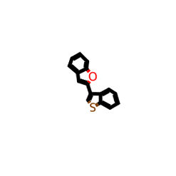 c1ccc2oc(-c3csc4ccccc34)cc2c1